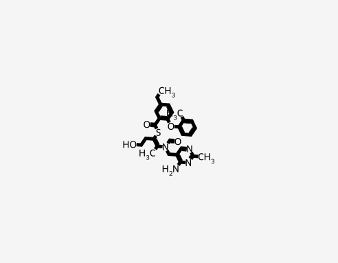 CCc1ccc(Oc2ccccc2C)c(C(=O)S/C(CCO)=C(/C)N(C=O)Cc2cnc(C)nc2N)c1